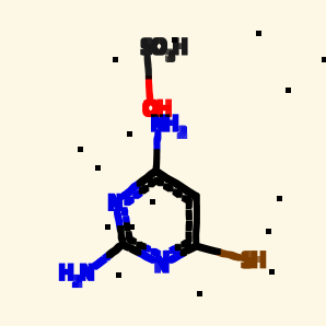 Nc1cc(S)nc(N)n1.O=S(=O)(O)O